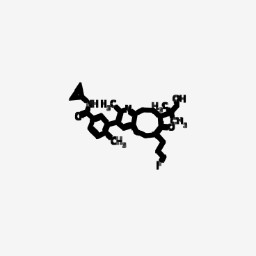 Cc1ccc(C(=O)NC2CC2)cc1-c1cc2c(nc1C)CCC(C(C)(C)CO)C(=O)C(CCCF)CC2